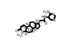 CN1C(=O)C=C[C@]2(C)[C@H]3CC[C@]4(C)[C@@H](CC(=O)Nc5cncnc5N)CC[C@H]4[C@@H]3CC[C@@H]12